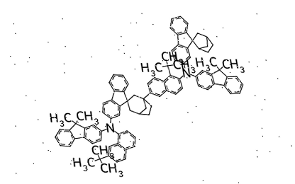 CC(C)(C)c1ccc2cccc(N(c3ccc4c(c3)C(C)(C)c3ccccc3-4)c3ccc4c(c3)C3(CC5CCC(c6ccc7c(C(C)(C)C)c(N(c8ccc9c(c8)C(C)(C)c8ccccc8-9)c8ccc9c(c8)C8(CC%10CCC8C%10)c8ccccc8-9)ccc7c6)(C5)C3)c3ccccc3-4)c2c1